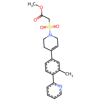 COC(=O)CS(=O)(=O)N1CC=C(c2ccc(-c3ccccn3)c(C)c2)CC1